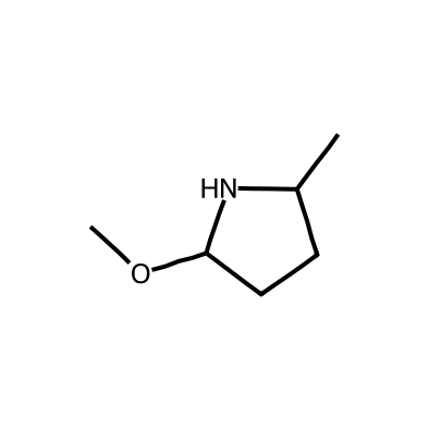 COC1CCC(C)N1